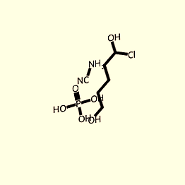 N#CN.O=P(O)(O)O.OCCCCC(O)Cl